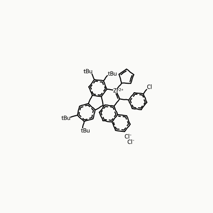 CC(C)(C)c1cc2c(cc1C(C)(C)C)-c1cc(C(C)(C)C)c(C(C)(C)C)[c]([Zr+2](=[C](c3cccc(Cl)c3)c3cccc4ccccc34)[CH]3C=CC=C3)c1C2.[Cl-].[Cl-]